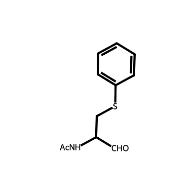 CC(=O)NC(C=O)CSc1ccccc1